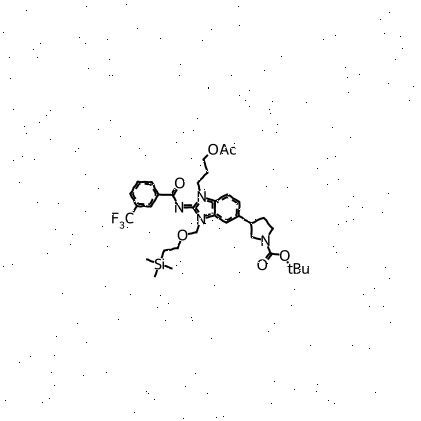 CC(=O)OCCCn1c(=NC(=O)c2cccc(C(F)(F)F)c2)n(COCC[Si](C)(C)C)c2cc(C3CCN(C(=O)OC(C)(C)C)C3)ccc21